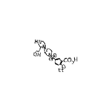 CCOc1ccc(S(=O)(=O)N2CCN(N3CCNCC3CCO)CC2)cc1C(=O)O